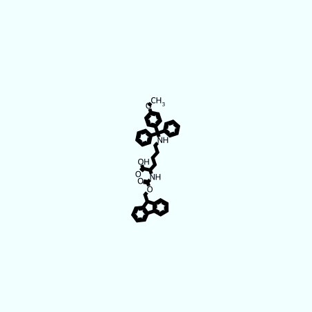 COc1ccc(C(NCCCCC(NC(=O)OCC2c3ccccc3-c3ccccc32)C(=O)O)(c2ccccc2)c2ccccc2)cc1